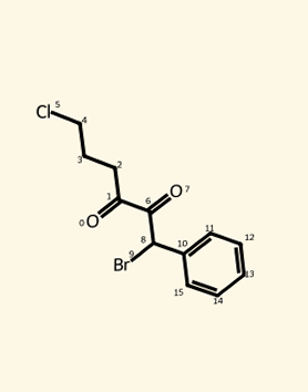 O=C(CCCCl)C(=O)C(Br)c1ccccc1